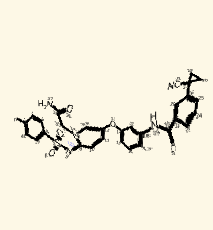 Cc1ccc(S(=O)(=O)/N=c2/ccc(Oc3cccc(NC(=O)c4cccc(C5(C#N)CC5)c4)c3)cn2CC(N)=O)cc1